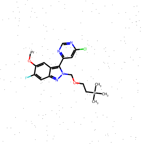 CC(C)Oc1cc2c(-c3cc(Cl)ncn3)n(COCC[Si](C)(C)C)nc2cc1F